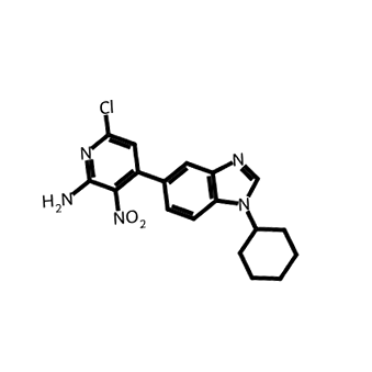 Nc1nc(Cl)cc(-c2ccc3c(c2)ncn3C2CCCCC2)c1[N+](=O)[O-]